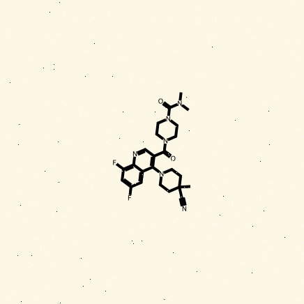 CN(C)C(=O)N1CCN(C(=O)c2cnc3c(F)cc(F)cc3c2N2CCC(C)(C#N)CC2)CC1